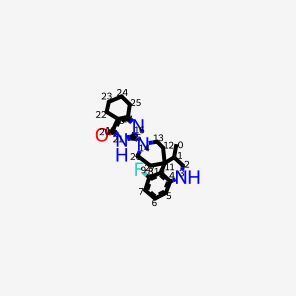 CC1CNc2cccc(F)c2C12CCN(c1nc3c(c(=O)[nH]1)CCCC3)CC2